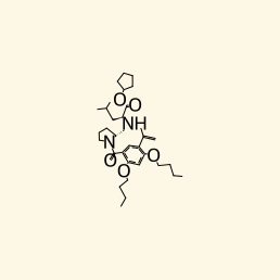 C=C(C)c1cc(C(=O)N2CCC[C@@H]2CN[C@@H](CC(C)C)C(=O)OC2CCCC2)c(OCCCC)cc1OCCCC